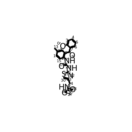 COc1ccccc1C(=O)c1cc(C)ccc1NC(=O)Nc1nc(CNS(C)(=O)=O)cs1